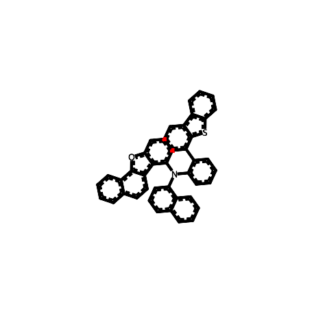 c1ccc(N(c2cccc3ccccc23)c2cccc3oc4c5ccccc5ccc4c23)c(-c2cccc3c2sc2ccccc23)c1